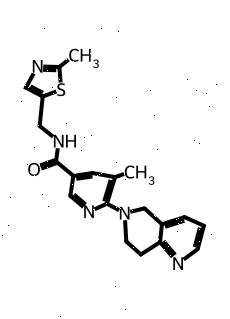 Cc1ncc(CNC(=O)c2cnc(N3CCc4ncccc4C3)c(C)c2)s1